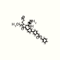 CCCN(CCCN=O)C(=O)C1=Cc2ccc(-c3ccc(CC(=O)OCc4ccccc4)cc3)cc2NC(N=NN)C1